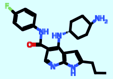 CCCc1cc2c(N[C@H]3CC[C@H](N)CC3)c(C(=O)Nc3ccc(F)cc3)cnc2[nH]1